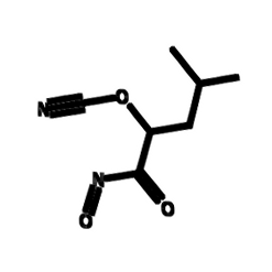 CC(C)CC(OC#N)C(=O)N=O